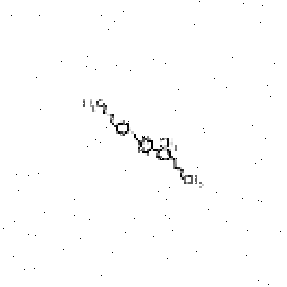 CCCCCc1ccc(-c2cnc(CC[C@H]3CC[C@H](CCCCC)CC3)nc2)c(C)c1